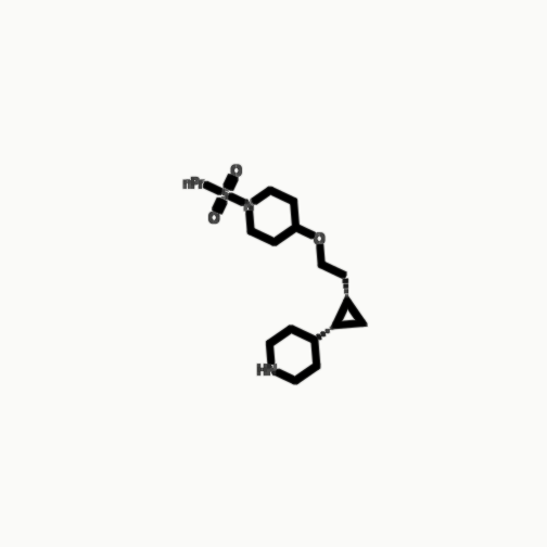 CCCS(=O)(=O)N1CCC(OCC[C@@H]2C[C@@H]2C2CCNCC2)CC1